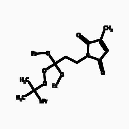 CCCC(C)(C)OOC(CCN1C(=O)C=C(C)C1=O)(OCC)OCC